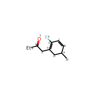 CCC(=O)CC1=C(F)C=CC(C)C1